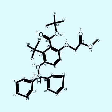 COC(=O)COc1ccc(O[SiH](c2ccccc2)c2ccccc2)c(C(C)(C)C)c1C(=O)OC(C)(C)C